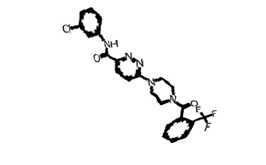 O=C(Nc1cccc(Cl)c1)c1ccc(N2CCN(C(=O)c3ccccc3C(F)(F)F)CC2)nn1